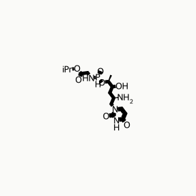 CC(C)OC(=O)CN[PH](=O)O[C@@H](C)C(O)C[C@H](N)Cn1ccc(=O)[nH]c1=O